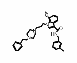 COc1cccc2c(C(=O)NCc3cccc(C)c3)cn(CCCN3CCN(CCc4ccccc4)CC3)c12